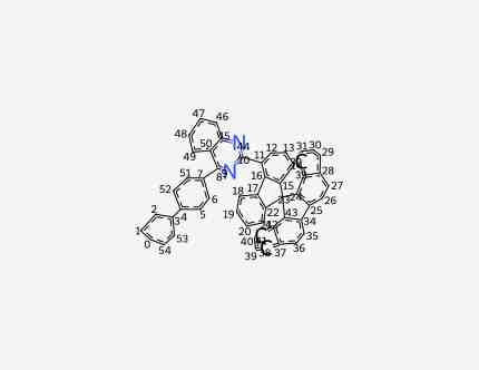 c1ccc(-c2ccc(-c3nc(-c4cccc5c4-c4ccccc4C54c5c(ccc6ccccc56)-c5ccc6ccccc6c54)nc4ccccc34)cc2)cc1